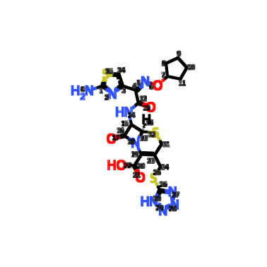 Nc1nc(/C(=N/OC2CCCC2)C(=O)NC2C(=O)N3C(C(=O)O)=C(CSc4nnn[nH]4)CS[C@H]23)cs1